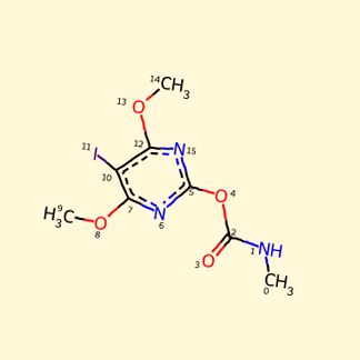 CNC(=O)Oc1nc(OC)c(I)c(OC)n1